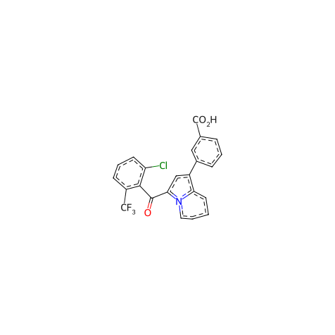 O=C(O)c1cccc(-c2cc(C(=O)c3c(Cl)cccc3C(F)(F)F)n3ccccc23)c1